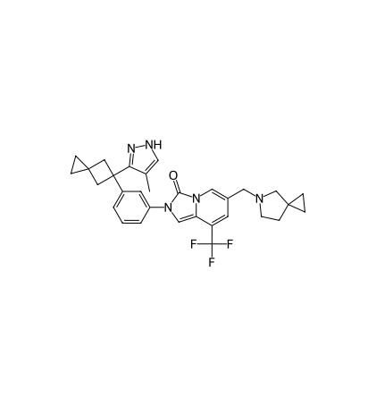 Cc1c[nH]nc1C1(c2cccc(-n3cc4c(C(F)(F)F)cc(CN5CCC6(CC6)C5)cn4c3=O)c2)CC2(CC2)C1